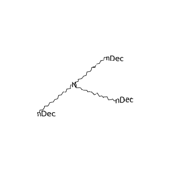 CCCCCCCCCCCCCCCCCCCCCCCCCN(CCCCCCCCCCCCCCCCCCCCCCCCC)CCCCCCCCCCCCCCCCCCCCCCCCC